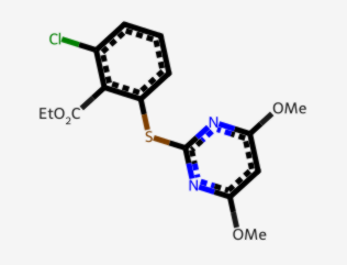 CCOC(=O)c1c(Cl)cccc1Sc1nc(OC)cc(OC)n1